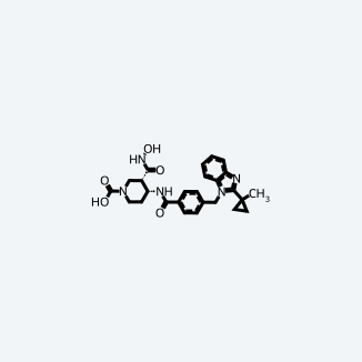 CC1(c2nc3ccccc3n2Cc2ccc(C(=O)N[C@@H]3CCN(C(=O)O)C[C@@H]3C(=O)NO)cc2)CC1